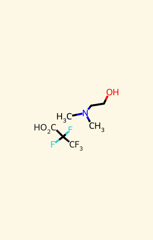 CN(C)CCO.O=C(O)C(F)(F)C(F)(F)F